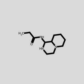 CCC(=O)NC1NCCN2CCCCC12